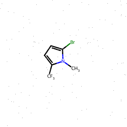 Cn1c(Br)ccc1C(F)(F)F